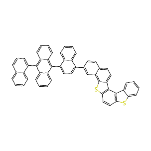 c1ccc2c(-c3c4ccccc4c(-c4ccc(-c5ccc6ccc7c(sc8ccc9sc%10ccccc%10c9c87)c6c5)c5ccccc45)c4ccccc34)cccc2c1